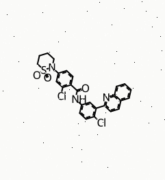 O=C(Nc1ccc(Cl)c(-c2ccc3ccccc3n2)c1)c1ccc(N2CCCCS2(=O)=O)cc1Cl